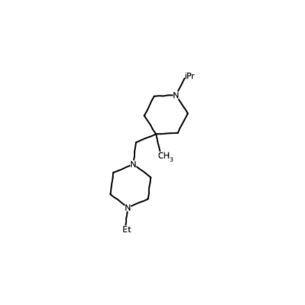 CCN1CCN(CC2(C)CCN(C(C)C)CC2)CC1